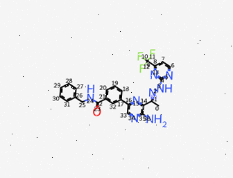 C/C(=N\Nc1nccc(C(F)(F)F)n1)c1nc(-c2cccc(C(=O)NCc3ccccc3)c2)cnc1N